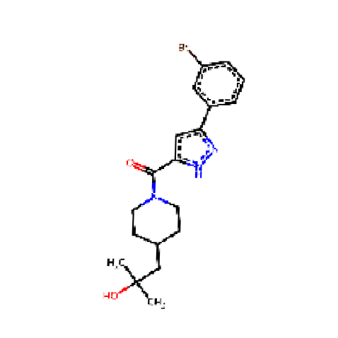 CC(C)(O)CC1CCN(C(=O)c2cc(-c3cccc(Br)c3)n[nH]2)CC1